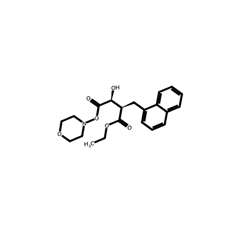 CCOC(=O)[C@H](Cc1cccc2ccccc12)[C@H](O)C(=O)ON1CCOCC1